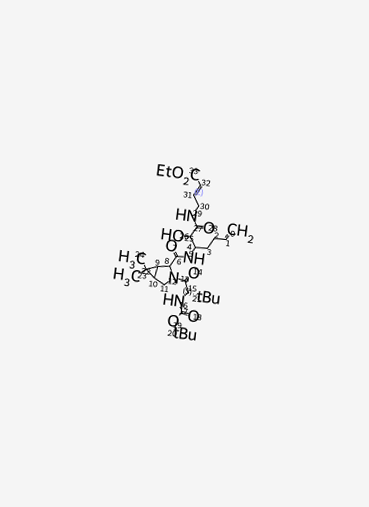 C=CCCC(NC(=O)C1C2C(CN1C(=O)[C@@H](NC(=O)OC(C)(C)C)C(C)(C)C)C2(C)C)C(O)C(=O)NC/C=C/C(=O)OCC